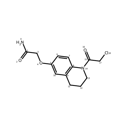 NC(=O)COc1ccc2c(c1)CCCN2C(=O)CCl